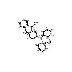 O=c1c2ccccc2oc2ccc(N3c4ccccc4Sc4ccccc43)cc12